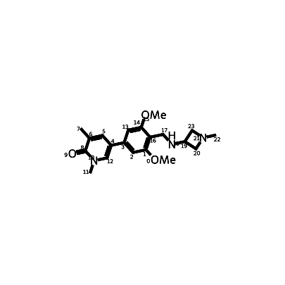 COc1cc(-c2cc(C)c(=O)n(C)c2)cc(OC)c1CNC1CN(C)C1